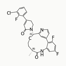 C[C@@H]1CCC[C@H](N2CCC(c3cccc(Cl)c3F)=CC2=O)c2cc(ccn2)-c2c(F)cc(F)cc2NC1=O